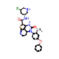 Cc1cc(Oc2ccccc2)ccc1N1C(=O)Nc2c(C(=O)N[C@H]3CNC[C@H](F)C3)sc3nccc1c23